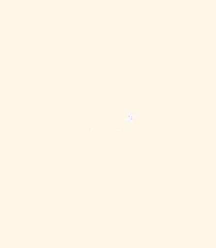 COC(=O)CP(=O)([O-])OC.C[N+](C)(C)Cc1ccccc1